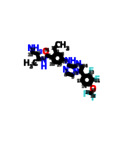 CCc1cc(Nc2nccn3c(-c4ccc(OC(F)F)c(F)c4F)cnc23)ccc1C(=O)NC(C)CCN